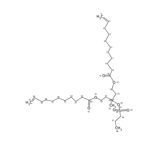 C=CCCCCCCCCC(=O)OCC[N+](C)(CCOC(=O)CCCCCCCCC=C)OS(=O)(=O)CCC